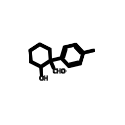 Cc1ccc(C2([C]=O)CCCCC2O)cc1